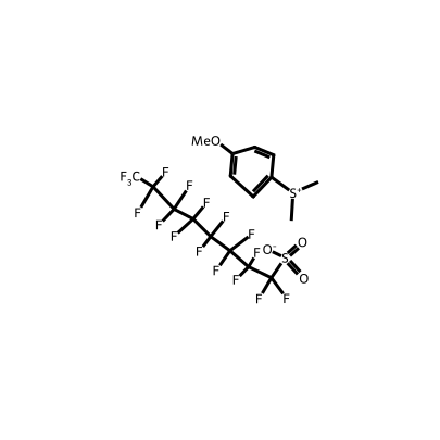 COc1ccc([S+](C)C)cc1.O=S(=O)([O-])C(F)(F)C(F)(F)C(F)(F)C(F)(F)C(F)(F)C(F)(F)C(F)(F)C(F)(F)F